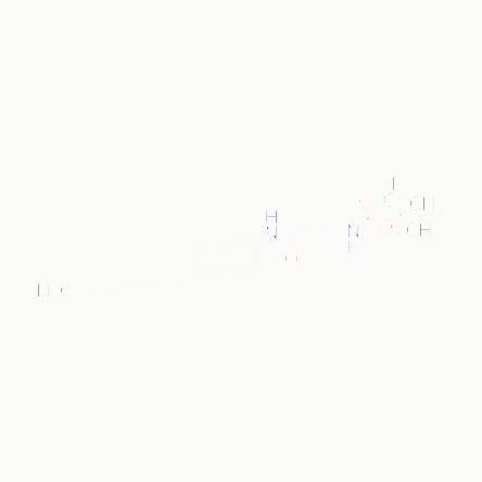 CCCCCCCCc1ccc2cc(NC(=O)CCCNC(=O)OC(C)(C)C)ccc2c1